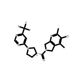 Cc1nc2c(c(C)c1Cl)CN(C(=O)[C@@H]1CCN(c3cc(C(F)(F)F)ncn3)C1)C2